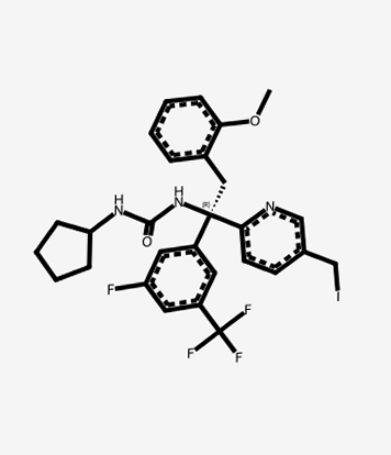 COc1ccccc1C[C@@](NC(=O)NC1CCCC1)(c1cc(F)cc(C(F)(F)F)c1)c1ccc(CI)cn1